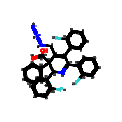 [N-]=[N+]=NCC1=C(c2ccccc2F)C(c2ccccc2F)=NC(c2ccccc2F)C1(C(=O)O)c1ccccc1F